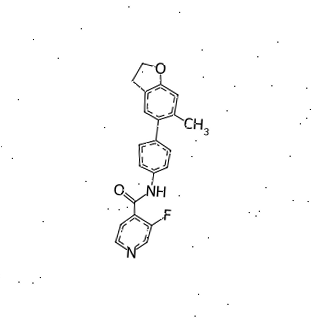 Cc1cc2c(cc1-c1ccc(NC(=O)c3ccncc3F)cc1)CCO2